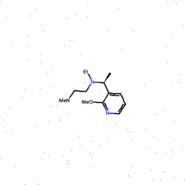 CCN(CCNC)[C@@H](C)c1cccnc1OC